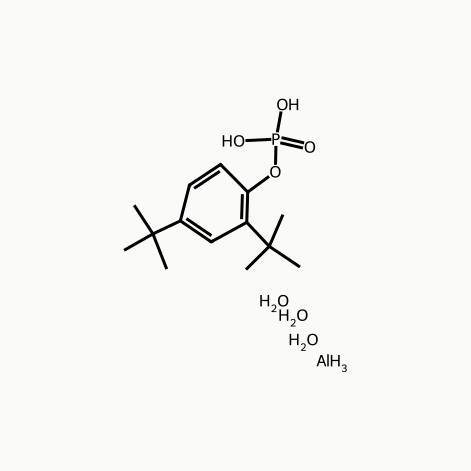 CC(C)(C)c1ccc(OP(=O)(O)O)c(C(C)(C)C)c1.O.O.O.[AlH3]